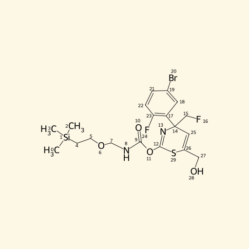 C[Si](C)(C)CCOCNC(=O)OC1=NC(CF)(c2cc(Br)ccc2F)C=C(CO)S1